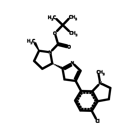 C[C@@H]1CC[C@@H](C2=NC=C(c3ccc(Cl)c4c3N(C)CC4)C2)N1C(=O)OC(C)(C)C